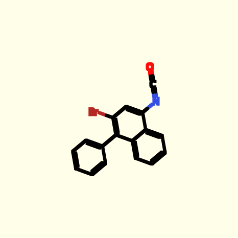 O=C=Nc1cc(Br)c(-c2ccccc2)c2ccccc12